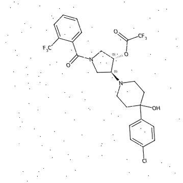 O=C(c1ccccc1C(F)(F)F)N1C[C@H](OC(=O)C(F)(F)F)[C@@H](N2CCC(O)(c3ccc(Cl)cc3)CC2)C1